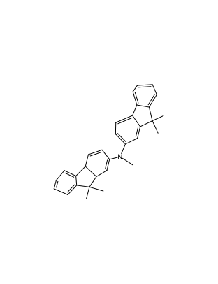 CN(C1=CC2C(C=C1)c1ccccc1C2(C)C)c1ccc2c(c1)C(C)(C)c1ccccc1-2